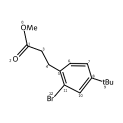 COC(=O)CCc1ccc(C(C)(C)C)cc1Br